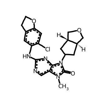 Cn1c(=O)n(C2C[C@@H]3COC[C@H]3C2)c2nc(Nc3cc4c(cc3Cl)OCC4)ncc21